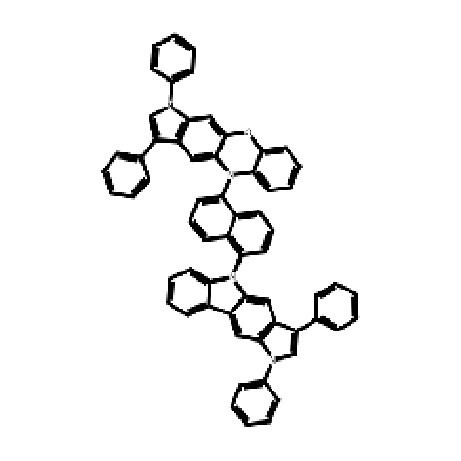 c1ccc(-c2cn(-c3ccccc3)c3cc4c(cc23)N(c2cccc3c(-n5c6ccccc6c6cc7c(cc65)c(-c5ccccc5)cn7-c5ccccc5)cccc23)c2ccccc2O4)cc1